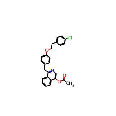 CC(=O)Oc1cnc(Cc2ccc(OCCc3ccc(Cl)cc3)cc2)c2ccccc12